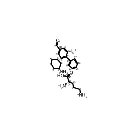 NC1CCCCC1.NCCC[C@H](N)C(=O)O.O=Cc1ccc(-c2ccccc2)cc1.[H+]